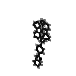 c1ccc2c(c1)-c1ccccc1C21c2c(ccc3ccccc23)-c2ccc3cc(-c4ccc(-c5cn6ccccc6n5)cc4)ccc3c21